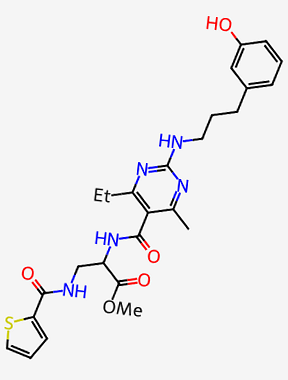 CCc1nc(NCCCc2cccc(O)c2)nc(C)c1C(=O)NC(CNC(=O)c1cccs1)C(=O)OC